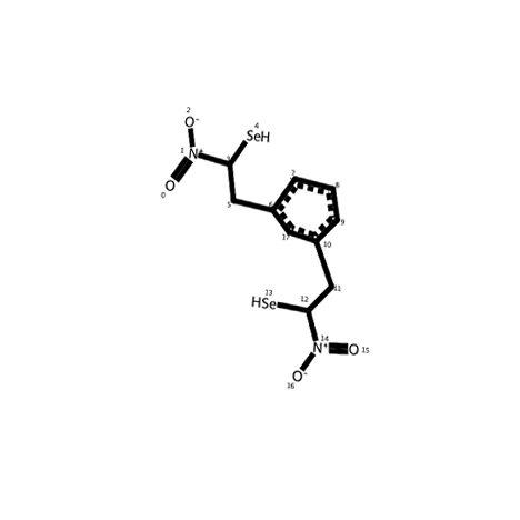 O=[N+]([O-])C([SeH])Cc1[c]ccc(CC([SeH])[N+](=O)[O-])c1